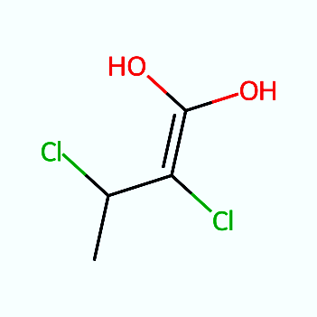 CC(Cl)C(Cl)=C(O)O